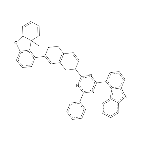 CC12C=CC=CC1Oc1cccc(C3=CC4=C(C=CC(c5nc(-c6ccccc6)nc(-c6cccc7sc8ccccc8c67)n5)C4)CC3)c12